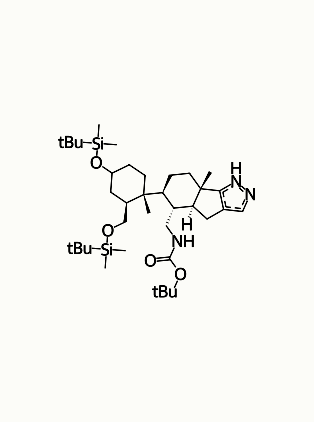 CC(C)(C)OC(=O)NC[C@@H]1[C@@H]([C@@]2(C)CCC(O[Si](C)(C)C(C)(C)C)C[C@@H]2CO[Si](C)(C)C(C)(C)C)CC[C@]2(C)c3[nH]ncc3C[C@@H]12